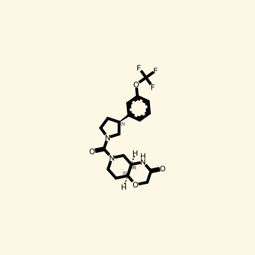 O=C1CO[C@H]2CCN(C(=O)N3CC[C@@H](c4cccc(OC(F)(F)F)c4)C3)C[C@H]2N1